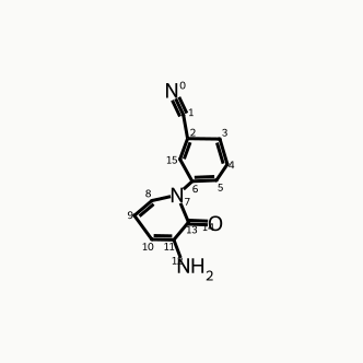 N#Cc1cccc(-n2cccc(N)c2=O)c1